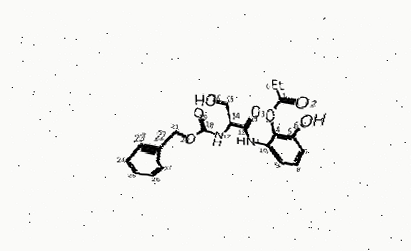 CCC(=O)Oc1c(O)cccc1NC(=O)[C@H](CO)NC(=O)OCc1ccccc1